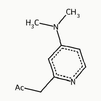 CC(=O)Cc1cc(N(C)C)ccn1